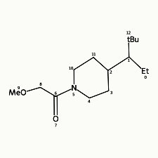 CCC(C1CCN(C(=O)COC)CC1)C(C)(C)C